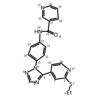 CCSc1cc(-c2ncnn2-c2ccc(NC(=O)c3cccnc3)cc2)ccn1